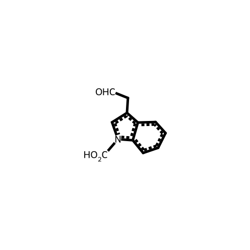 O=CCc1cn(C(=O)O)c2ccccc12